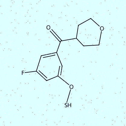 O=C(c1cc(F)cc(OS)c1)C1CCOCC1